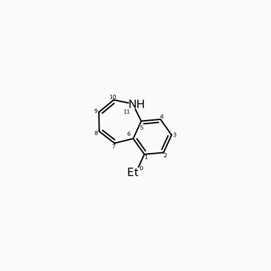 CCc1cccc2c1C=CC=CN2